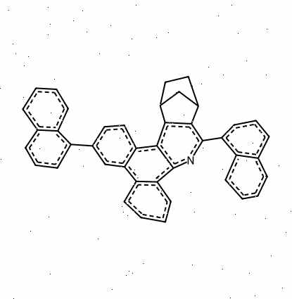 c1ccc2c(-c3ccc4c(c3)c3ccccc3c3nc(-c5cccc6ccccc56)c5c(c43)C3CCC5C3)cccc2c1